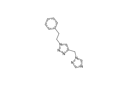 c1ccc(CCn2cc(Cn3cncn3)nn2)cc1